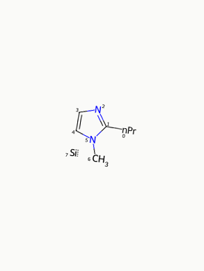 CCCc1nccn1C.[Si]